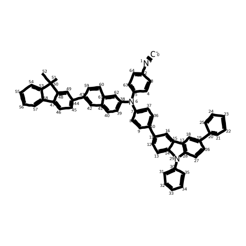 [C-]#[N+]c1ccc(N(c2ccc(-c3ccc4c(c3)c3cc(-c5ccccc5)ccc3n4-c3ccccc3)cc2)c2ccc3cc(-c4ccc5c(c4)C(C)(C)c4ccccc4-5)ccc3c2)cc1